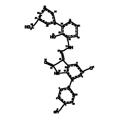 CCCc1ccc(-c2cc(Cl)cc3c2NC(=O)C3=NNc2cccc(-c3cccc(C(=O)O)c3)c2O)cc1